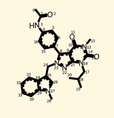 CC(=O)Nc1ccc(-c2c3c(=O)n(C)c(=O)n(CC(C)C)c3nn2Cc2cn(C)c3ccccc23)cc1